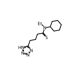 CCN(C(=S)CCCc1nnn[nH]1)C1CCCCC1